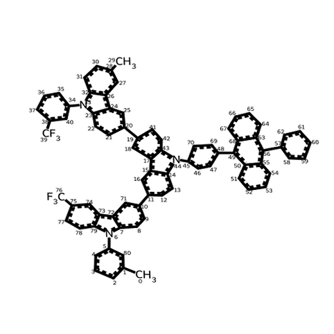 Cc1cccc(-n2c3ccc(-c4ccc5c(c4)c4cc(-c6ccc7c(c6)c6cc(C)ccc6n7-c6cccc(C(F)(F)F)c6)ccc4n5-c4ccc(-c5c6ccccc6c(-c6ccccc6)c6ccccc56)cc4)cc3c3cc(C(F)(F)F)ccc32)c1